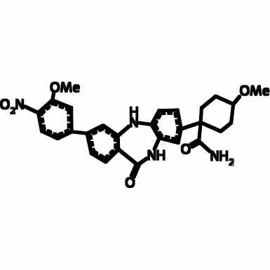 COc1cc(-c2ccc3c(c2)Nc2ccc(C4(C(N)=O)CCC(OC)CC4)cc2NC3=O)ccc1[N+](=O)[O-]